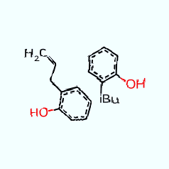 C=CCc1ccccc1O.CCC(C)c1ccccc1O